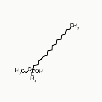 CCCCCCCCCCCCCCCCCC(C)(O)OCC